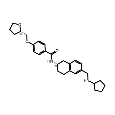 O=C(N[C@H]1CCc2cc(CNC3CCCC3)ccc2C1)c1ccc(OC[C@@H]2CCCO2)cc1